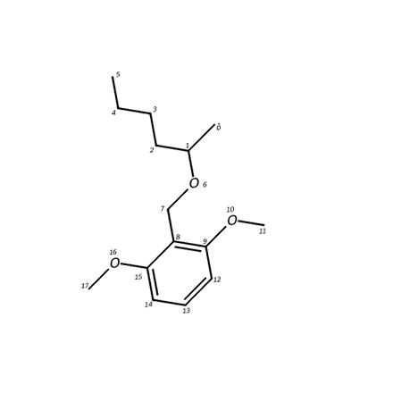 [CH2]C(CCCC)OCc1c(OC)cccc1OC